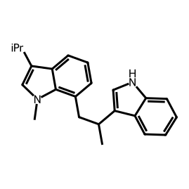 CC(C)c1cn(C)c2c(CC(C)c3c[nH]c4ccccc34)cccc12